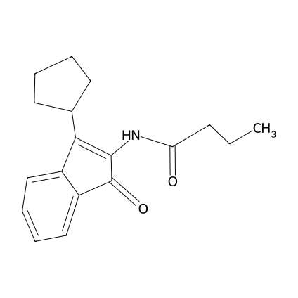 CCCC(=O)NC1=C(C2CCCC2)c2ccccc2C1=O